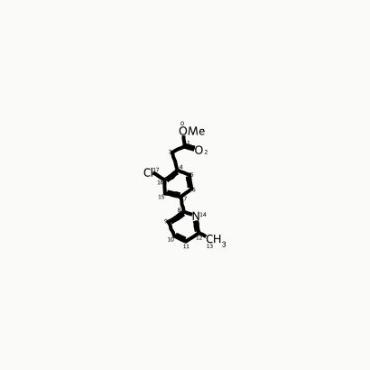 COC(=O)Cc1ccc(-c2cccc(C)n2)cc1Cl